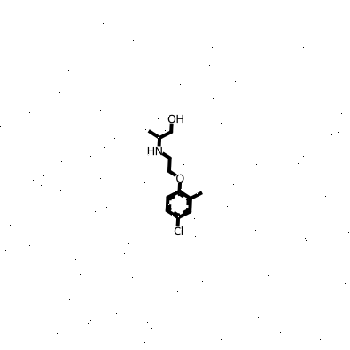 Cc1cc(Cl)ccc1OCCNC(C)CO